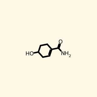 NC(=O)C1=CCC(O)CC1